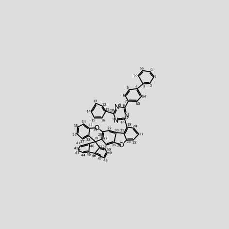 c1ccc(-c2ccc(-c3nc(-c4ccccc4)nc(-c4cccc5oc6cc7c(cc6c45)Oc4ccccc4C74c5ccccc5-c5ccccc54)n3)cc2)cc1